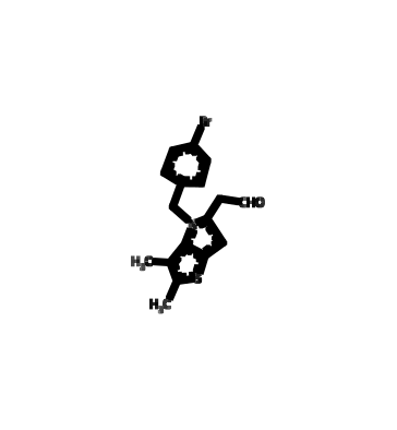 Cc1sc2cc(CC=O)n(Cc3ccc(Br)cc3)c2c1C